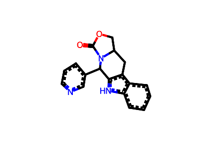 O=C1OCC2Cc3c([nH]c4ccccc34)C(c3cccnc3)N12